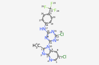 Cc1nc2ncc(Cl)cc2n1-c1nc(Cl)nc(Nc2ccc(C(F)(F)F)cc2)n1